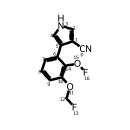 N#Cc1c[nH]cc1-c1cccc(OCF)c1OF